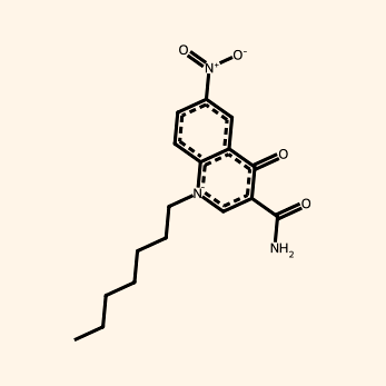 CCCCCCCn1cc(C(N)=O)c(=O)c2cc([N+](=O)[O-])ccc21